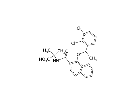 CC(Oc1c(C(=O)NC(C)(C)C(=O)O)ccc2ccccc12)c1cccc(Cl)c1Cl